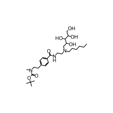 CCCCCCN(CCNC(=O)c1ccc(CCN(C)C(=O)OC(C)(C)C)cc1)CC(O)C(O)C(O)CO